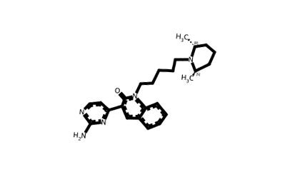 C[C@@H]1CCC[C@H](C)N1CCCCCn1c(=O)c(-c2ccnc(N)n2)cc2ccccc21